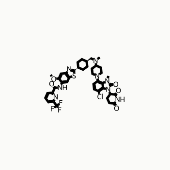 COc1cc2nc([C@H]3CC[C@H](CN(C)C4CCN(c5ccc(Cl)c6c5n(C)c(=O)n6C5CCC(=O)NC5=O)CC4)CC3)sc2cc1NC(=O)c1cccc(C(F)(F)F)n1